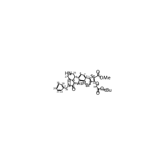 COC(=O)c1sc(-c2cccc([AsH]C(C(=O)NCc3ccccc3)C3CCNCC3)c2)c(Br)c1OCC(=O)OC(C)(C)C